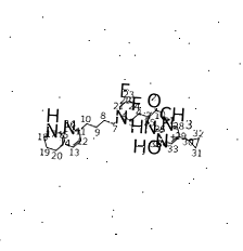 CC(=O)C(CCN(CCCCc1ccc2c(n1)NCCC2)CC(F)F)Nc1ncc(C2CC2)c[n+]1O